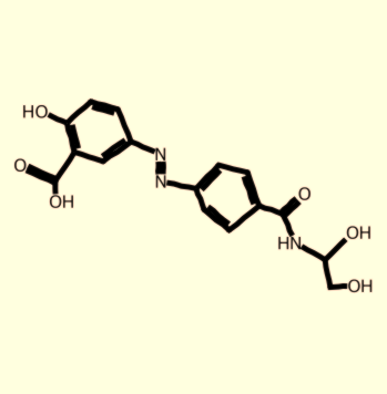 O=C(NC(O)CO)c1ccc(N=Nc2ccc(O)c(C(=O)O)c2)cc1